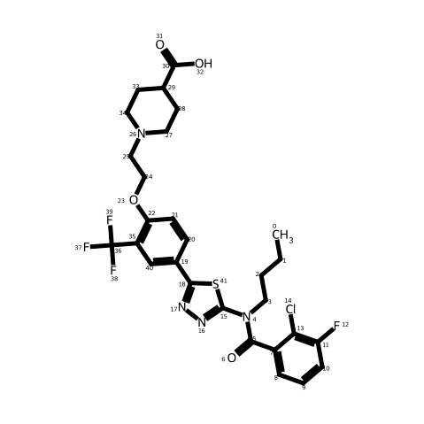 CCCCN(C(=O)c1cccc(F)c1Cl)c1nnc(-c2ccc(OCCN3CCC(C(=O)O)CC3)c(C(F)(F)F)c2)s1